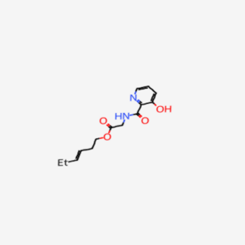 CC/C=C/CCOC(=O)CNC(=O)c1ncccc1O